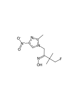 Cc1nc([N+](=O)[O-])cn1CC(=NO)C(C)(C)CF